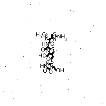 CON=C(C(=O)NC1C(=O)N2C(C(=O)O)=C(C=CSc3n[nH]c(=O)c(=O)n3CCO)CSC12)c1csc(N)n1